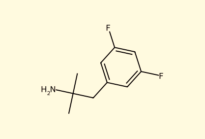 CC(C)(N)Cc1cc(F)cc(F)c1